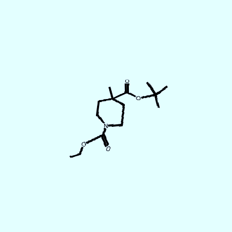 CCOC(=O)N1CCC(C)(C(=O)OC(C)(C)C)CC1